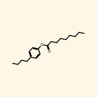 CCCCCCCCC(=O)Oc1ccc(CCCC)cc1